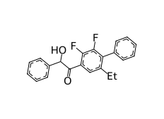 CCc1cc(C(=O)C(O)c2ccccc2)c(F)c(F)c1-c1ccccc1